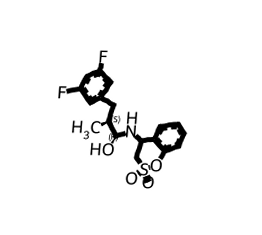 C[C@@H](Cc1cc(F)cc(F)c1)[C@@H](O)NC1CS(=O)(=O)Oc2ccccc21